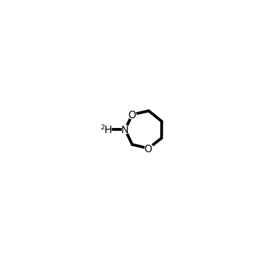 [2H]N1COCCCO1